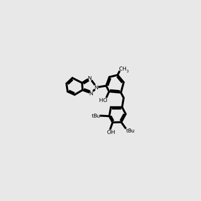 Cc1cc(Cc2cc(C(C)(C)C)c(O)c(C(C)(C)C)c2)c(O)c(-n2nc3ccccc3n2)c1